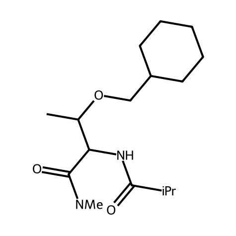 CNC(=O)C(NC(=O)C(C)C)C(C)OCC1CCCCC1